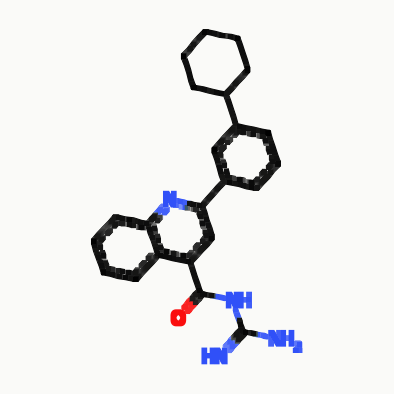 N=C(N)NC(=O)c1cc(-c2cccc(C3CCCCC3)c2)nc2ccccc12